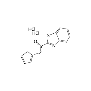 Cl.Cl.O=[S]([Zr][C]1=CC=CC1)c1nc2ccccc2s1